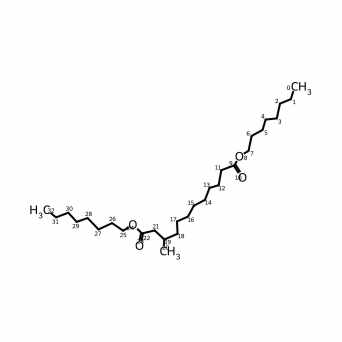 CCCCCCCCOC(=O)CCCCCCCCC(C)CC(=O)OCCCCCCCC